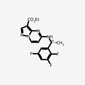 CCOC(=O)c1cnn2ccc(N[C@H](C)c3cc(F)cc(F)c3F)nc12